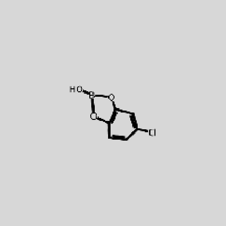 OB1Oc2ccc(Cl)cc2O1